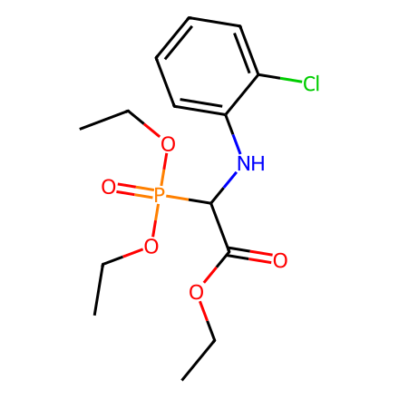 CCOC(=O)C(Nc1ccccc1Cl)P(=O)(OCC)OCC